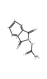 NC(=S)ON1C(=O)c2ccccc2C1=O